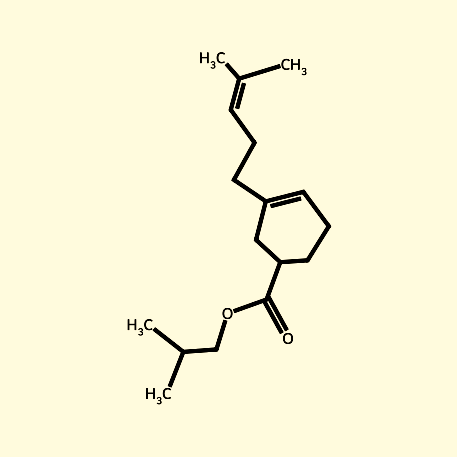 CC(C)=CCCC1=CCCC(C(=O)OCC(C)C)C1